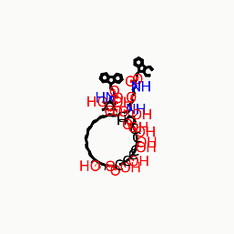 C=CC1=C(C=C)C(COC(=O)NCCOCCNC(=O)[C@H]2[C@@H]3C[C@@H](OC4OC(C)C(O)C(NC(=O)OCC5c6ccccc6-c6ccccc65)C4O)/C=C/C=C/C=C/C=C/C=C/C=C/C=C/[C@H](C)[C@@H](O)[C@@H](C)[C@H](C)OC(=O)C[C@H](O)C[C@H](O)CC[C@@H](O)[C@H](O)C[C@H](O)C[C@](O)(C[C@@H]2O)O3)c2ccccc21